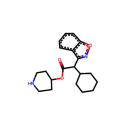 O=C(OC1CCNCC1)C(c1noc2ccccc12)C1CCCCC1